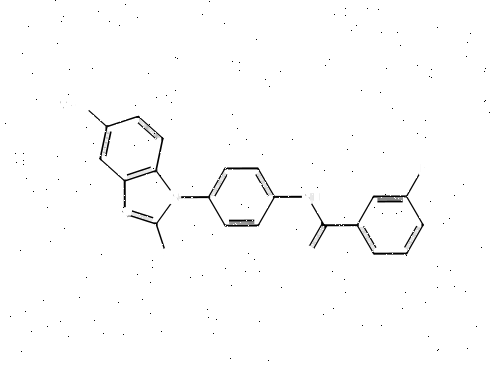 COc1ccc2c(c1)nc(C(F)(F)F)n2-c1ccc(NC(=O)c2cccc(Br)c2)cc1